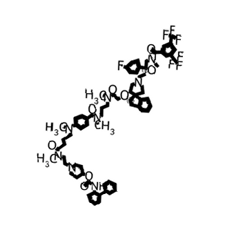 CN(CCN1CCC(OC(=O)Nc2ccccc2-c2ccccc2)CC1)C(=O)CCCN(C)c1ccc(C(=O)N(C)CCCN(C)C(=O)CO[C@H]2Cc3ccccc3C23CCN(CC[C@]2(c4ccc(F)cc4)CN(C(=O)c4cc(C(F)(F)F)cc(C(F)(F)F)c4)CO2)CC3)cc1